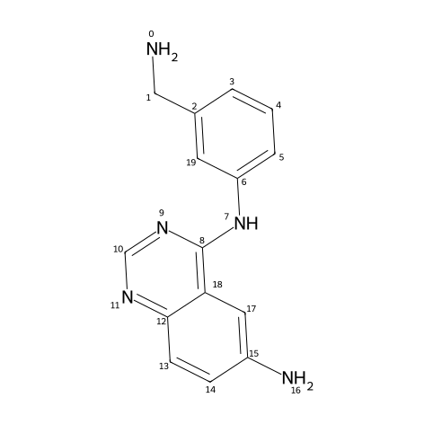 NCc1cccc(Nc2ncnc3ccc(N)cc23)c1